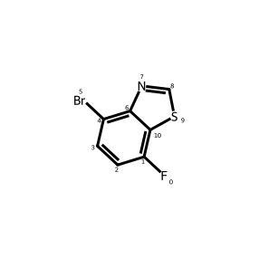 Fc1ccc(Br)c2ncsc12